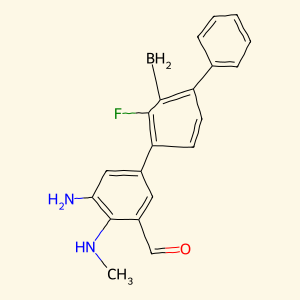 Bc1c(-c2ccccc2)ccc(-c2cc(N)c(NC)c(C=O)c2)c1F